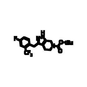 CC(C)(C)OC(=O)N1CCc2c(Cc3ccc(F)cc3C(F)(F)F)n[nH]c2C1